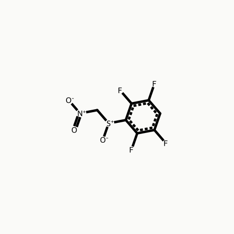 O=[N+]([O-])C[S+]([O-])c1c(F)c(F)cc(F)c1F